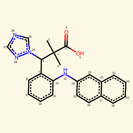 CC(C)(C(=O)O)C(c1ccccc1Nc1ccc2ccccc2c1)n1cncn1